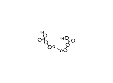 [3H]c1cccc(N(c2ccccc2)c2ccc(-c3cccc(OCCCCOc4cccc(-c5ccc(N(c6ccccc6)c6cccc([3H])c6)cc5)c4)c3)cc2)c1